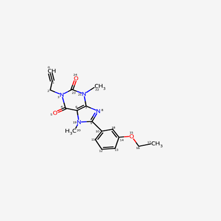 C#CCn1c(=O)c2c(nc(-c3cccc(OCC)c3)n2C)n(C)c1=O